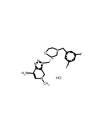 CN1C=C(N)c2nnn(C[C@H]3CN(Cc4cc(F)cc(F)c4)CCO3)c2C1.Cl